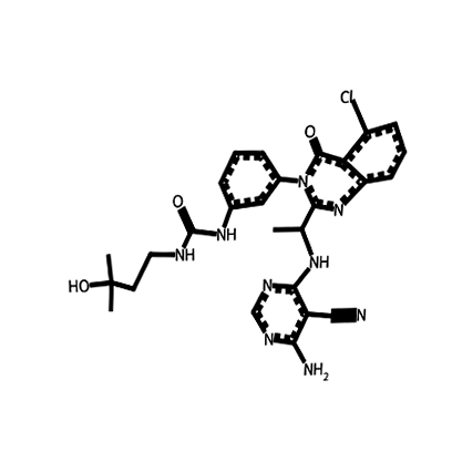 CC(Nc1ncnc(N)c1C#N)c1nc2cccc(Cl)c2c(=O)n1-c1cccc(NC(=O)NCCC(C)(C)O)c1